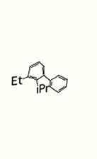 CCc1cccc(-c2ccccc2)c1C(C)C